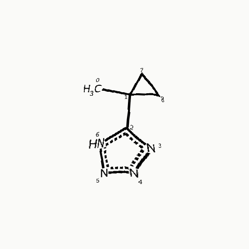 CC1(c2nnn[nH]2)CC1